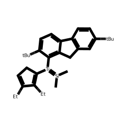 CCC1=CC[C]([Ti]([c]2c(C(C)(C)C)ccc3c2Cc2cc(C(C)(C)C)ccc2-3)=[Si](C)C)=C1CC